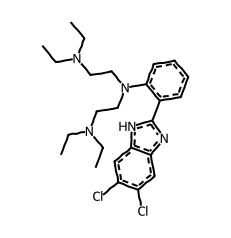 CCN(CC)CCN(CCN(CC)CC)c1ccccc1-c1nc2cc(Cl)c(Cl)cc2[nH]1